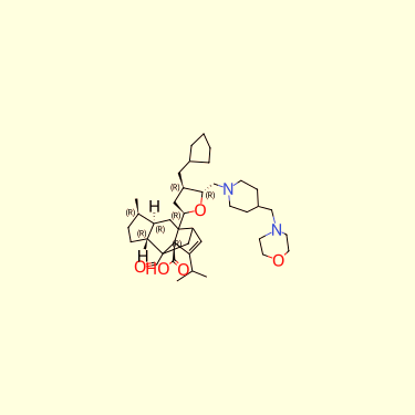 CC(C)C1=CC2CC3(C=O)[C@@H]4CC[C@@H](C)[C@H]4CC2([C@H]2C[C@@H](CC4CCCC4)[C@H](CN4CCC(CN5CCOCC5)CC4)O2)[C@]13C(=O)O